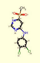 CS(=O)(=O)c1cc(Nc2ccc(Cl)c(Cl)c2)ncn1